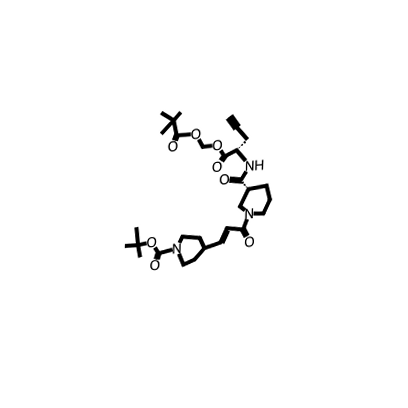 C#CC[C@H](NC(=O)[C@@H]1CCCN(C(=O)/C=C/C2CCN(C(=O)OC(C)(C)C)CC2)C1)C(=O)OCOC(=O)C(C)(C)C